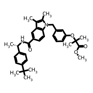 COC(=O)C(C)(C)Oc1cccc(Cn2c(C)c(C)c3cc(C(=O)N[C@@H](C)c4ccc(C(C)(C)C)cc4)ccc32)c1